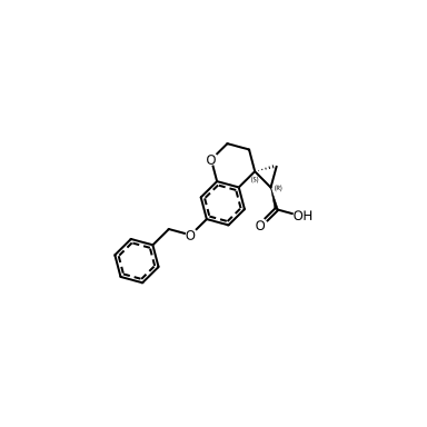 O=C(O)[C@@H]1C[C@]12CCOc1cc(OCc3ccccc3)ccc12